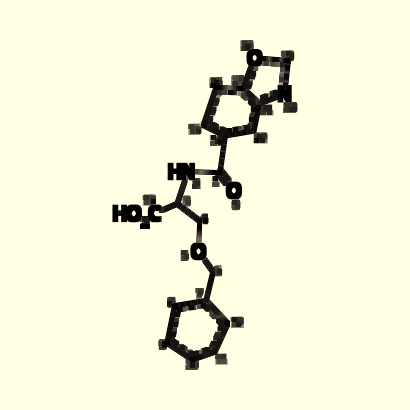 O=C(NC(COCc1ccccc1)C(=O)O)c1ccc2ocnc2c1